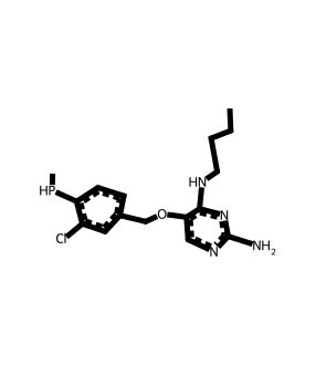 CCCCNc1nc(N)ncc1OCc1ccc(PC)c(Cl)c1